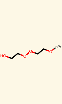 CCCOCCOOCCO